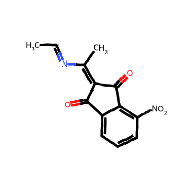 C[C]=NC(C)=C1C(=O)c2cccc([N+](=O)[O-])c2C1=O